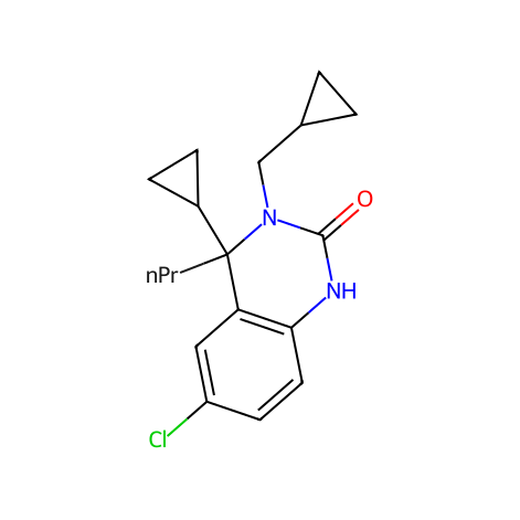 CCCC1(C2CC2)c2cc(Cl)ccc2NC(=O)N1CC1CC1